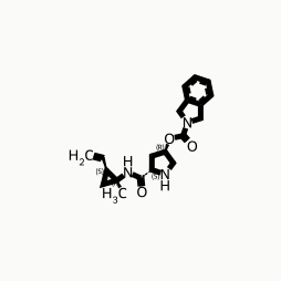 C=C[C@@H]1C[C@@]1(C)NC(=O)[C@@H]1C[C@@H](OC(=O)N2Cc3ccccc3C2)CN1